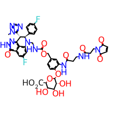 Cn1ncnc1[C@H]1c2n[nH]c(=O)c3cc(F)cc(c23)N(CNC(=O)OCc2ccc(O[C@@H]3O[C@H](C(=O)O)[C@@H](O)[C@H](O)[C@H]3O)c(NC(=O)CCNC(=O)CCN3C(=O)C=CC3=O)c2)[C@@H]1c1ccc(F)cc1